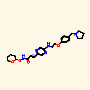 O=C(/C=C/c1cnc(NCCOc2ccc(CN3CCCC3)cc2)cn1)NOC1CCCCO1